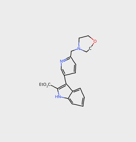 CCOC(=O)c1[nH]c2ccccc2c1-c1ccc(CN2CCOCC2)nc1